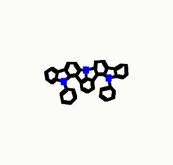 c1ccc(-n2c3ccccc3c3ccc4c(c5cccc6c7c8c(ccc7n4c56)c4ccccc4n8-c4ccccc4)c32)cc1